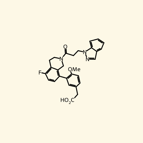 COc1ccc(CC(=O)O)cc1-c1ccc(F)c2c1CN(C(=O)CCn1ncc3ccccc31)CC2